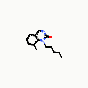 CCCC=Cn1c(=O)ncc2cccc(C)c21